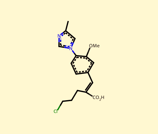 COc1cc(C=C(CCCCl)C(=O)O)ccc1-n1cnc(C)c1